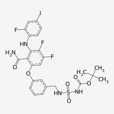 CC(C)(C)OC(=O)NS(=O)(=O)NCc1cccc(Oc2cc(F)c(F)c(Nc3ccc(I)cc3F)c2C(N)=O)c1